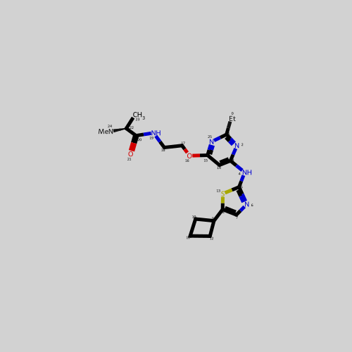 CCc1nc(Nc2ncc(C3CCC3)s2)cc(OCCNC(=O)[C@H](C)NC)n1